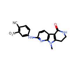 Cn1c2c(c3ccc(Nc4ccc(C#N)c([N+](=O)[O-])c4)nc31)C(=O)NCC2